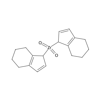 [O]=[Zr](=[O])([CH]1C=CC2=C1CCCC2)[CH]1C=CC2=C1CCCC2